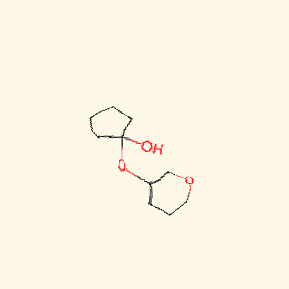 OC1(OC2CCCOC2)CCCC1